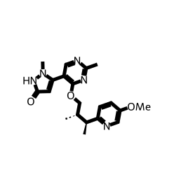 COc1ccc([C@@H](C)[C@H](C)COc2nc(C)ncc2-c2cc(=O)[nH]n2C)nc1